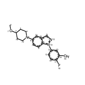 COC1CCN(c2ccc3c(cnn3-c3ccc(F)c(O)c3)c2)CC1